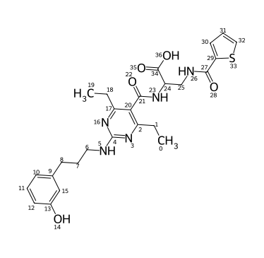 CCc1nc(NCCCc2cccc(O)c2)nc(CC)c1C(=O)NC(CNC(=O)c1cccs1)C(=O)O